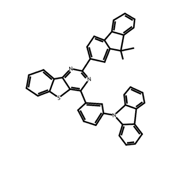 CC1(C)c2ccccc2-c2ccc(-c3nc(-c4cccc(-n5c6ccccc6c6ccccc65)c4)c4sc5ccccc5c4n3)cc21